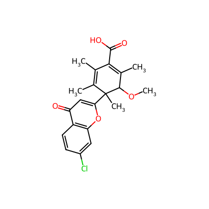 COC1C(C)=C(C(=O)O)C(C)=C(C)C1(C)c1cc(=O)c2ccc(Cl)cc2o1